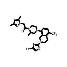 CCc1csc(N2CCc3c(C(F)(F)F)ccc(N4CCN(C(=O)Cn5nc(C)cc5C)C(C)C4)c3C2)n1